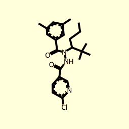 CCCC(N(NC(=O)c1ccc(Cl)nc1)C(=O)c1cc(C)cc(C)c1)C(C)(C)C